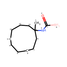 BC(=O)NC1(C)CCCCCCCCC1